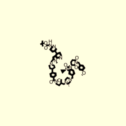 COc1ccc(CN2C(=O)CCC(n3c(=O)n(C4CC4)c4cc(CN5CCN(CC6CCN(C(=O)c7ccc(C8CCN(Cc9cc%10c(-c%11ccc(NC(=O)OC(C)(C)C)nc%11)ccnc%10n9C)CC8)cc7)CC6)[C@@H](C)C5)ccc43)C2=O)cc1